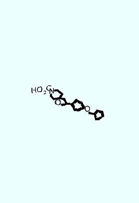 O=C(O)N1CCC2(CC1)CC(c1ccc(OCc3ccccc3)cc1)CO2